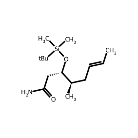 C/C=C/C[C@@H](C)[C@H](CC(N)=O)O[Si](C)(C)C(C)(C)C